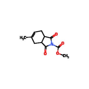 COC(=O)N1C(=O)C2CC=C(C)CC2C1=O